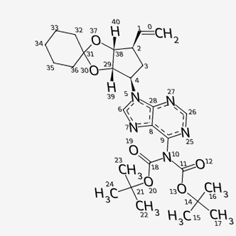 C=C[C@H]1C[C@@H](n2cnc3c(N(C(=O)OC(C)(C)C)C(=O)OC(C)(C)C)ncnc32)[C@@H]2OC3(CCCCC3)O[C@@H]21